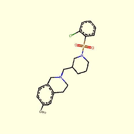 COc1ccc2c(c1)CCN(CC1CCCN(S(=O)(=O)c3ccccc3Cl)C1)C2